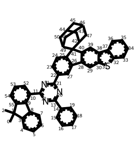 CC1(C)c2ccccc2-c2c(-c3nc(-c4ccccc4)nc(-c4ccc5c(c4)-c4cc6sc7ccccc7c6cc4C54C5CC6CC(C5)CC4C6)n3)cccc21